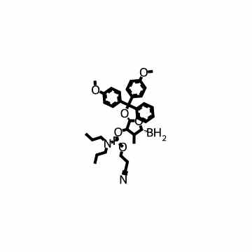 B[C@H]1O[C@H](OC(c2ccccc2)(c2ccc(OC)cc2)c2ccc(OC)cc2)C(OP(OCCC#N)N(CCC)CCC)C1C